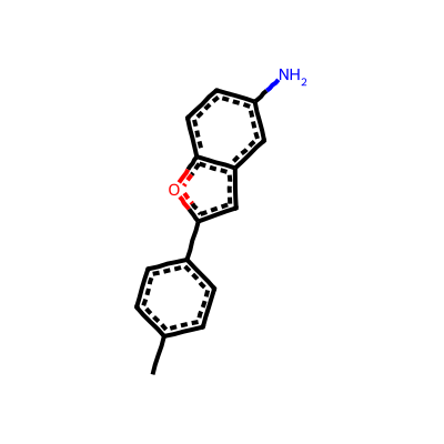 Cc1ccc(-c2cc3cc(N)ccc3o2)cc1